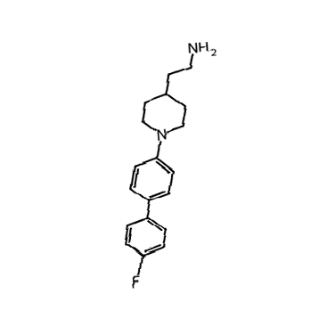 NCCC1CCN(c2ccc(-c3ccc(F)cc3)cc2)CC1